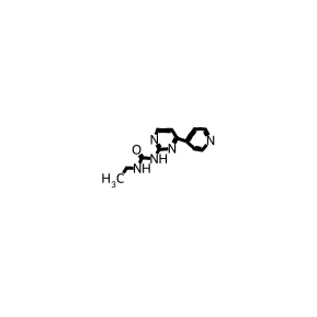 CCNC(=O)Nc1nccc(-c2ccncc2)n1